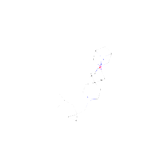 CC(C)CC1(CN2CCC3(CC2)CC(N2C4CC2CN(C(C)C)C4)C3)CC1